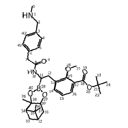 CNCc1ccc(CC(=O)NC(Cc2cccc(C(=O)OC(C)(C)C)c2OC)B2OC3CC4CC(C4(C)C)C3(C)O2)cc1